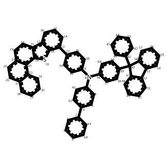 c1ccc(-c2ccc(N(c3ccc(-c4cccc5c4sc4c5ccc5ccc6ccccc6c54)cc3)c3ccc(C4(c5ccccc5)c5ccccc5-c5ccccc54)cc3)cc2)cc1